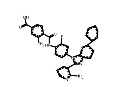 Cc1cc(C(=O)O)ccc1C(=O)Nc1ccc(-n2c(-c3cccnc3N)nc3ccc(-c4ccccc4)nc32)cc1F